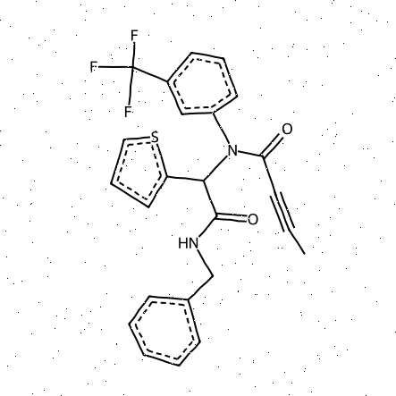 CC#CC(=O)N(c1cccc(C(F)(F)F)c1)C(C(=O)NCc1ccccc1)c1cccs1